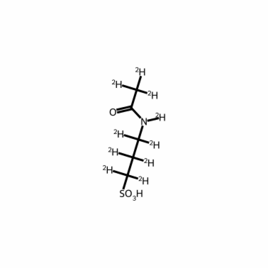 [2H]N(C(=O)C([2H])([2H])[2H])C([2H])([2H])C([2H])([2H])C([2H])([2H])S(=O)(=O)O